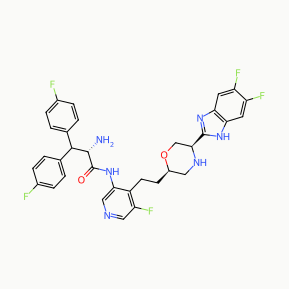 N[C@H](C(=O)Nc1cncc(F)c1CC[C@@H]1CN[C@H](c2nc3cc(F)c(F)cc3[nH]2)CO1)C(c1ccc(F)cc1)c1ccc(F)cc1